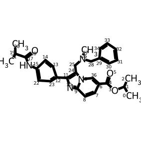 CC(C)OC(=O)c1ccc2nc(-c3ccc(NC(=O)C(C)C)cc3)c(CN(C)Cc3ccccc3)n2c1